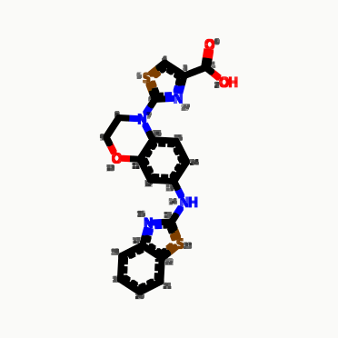 O=C(O)c1csc(N2CCOc3cc(Nc4nc5ccccc5s4)ccc32)n1